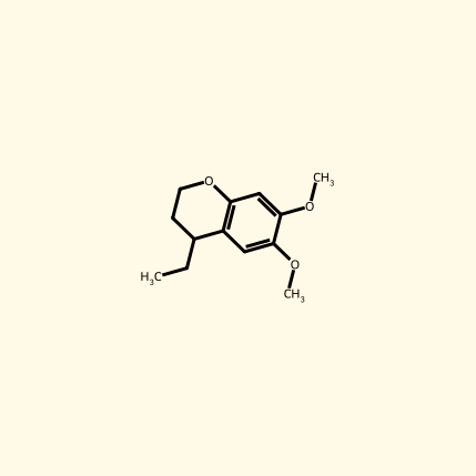 CCC1CCOc2cc(OC)c(OC)cc21